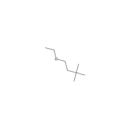 CCOCCC(C)(C)C